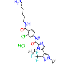 Cl.Cn1c(-c2cn(C3CC3)nc2C(F)(F)F)cnc1C(=O)Nc1ccc(C(=O)NCCCCCCN)c(Cl)c1